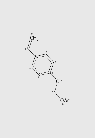 C=Cc1ccc(OCOC(C)=O)cc1